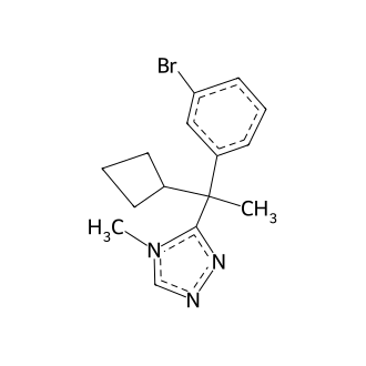 Cn1cnnc1C(C)(c1cccc(Br)c1)C1CCC1